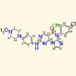 CN1CCN(c2ccc(Nc3ncc4c(=O)n(-c5ccc(C(F)(F)F)cc5Cl)c5nccn5c4n3)cc2)CC1